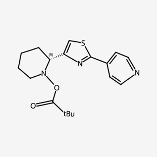 CC(C)(C)C(=O)ON1CCCC[C@@H]1c1csc(-c2ccncc2)n1